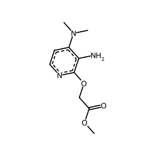 COC(=O)COc1nccc(N(C)C)c1N